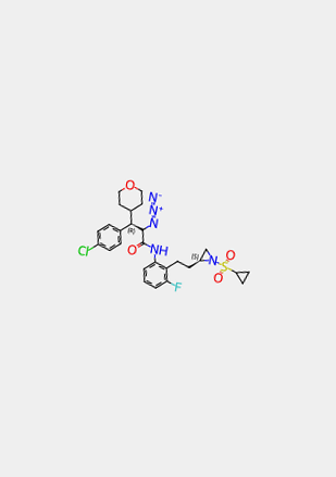 [N-]=[N+]=NC(C(=O)Nc1cccc(F)c1CC[C@H]1CN1S(=O)(=O)C1CC1)[C@@H](c1ccc(Cl)cc1)C1CCOCC1